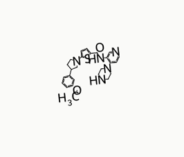 COc1cccc(C2CCN(c3ccc(C(=O)Nc4cnccc4N4CCNCC4)s3)C2)c1